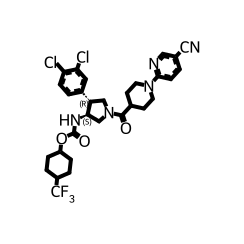 N#Cc1ccc(N2CCC(C(=O)N3C[C@@H](NC(=O)OC4CCC(C(F)(F)F)CC4)[C@H](c4ccc(Cl)c(Cl)c4)C3)CC2)nc1